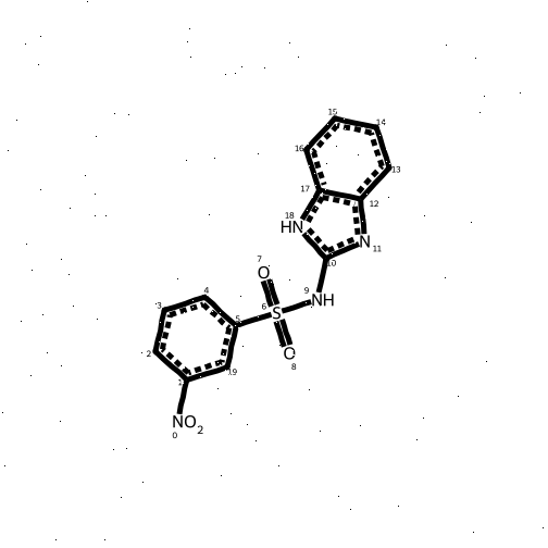 O=[N+]([O-])c1cccc(S(=O)(=O)Nc2nc3ccccc3[nH]2)c1